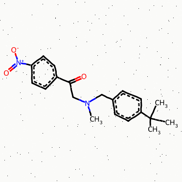 CN(CC(=O)c1ccc([N+](=O)[O-])cc1)Cc1ccc(C(C)(C)C)cc1